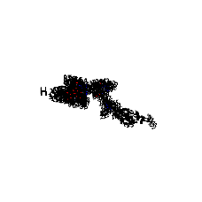 CC1(C)c2ccccc2-c2ccc(-c3cccc(N(c4ccccc4)c4ccc(-c5ccc6c(c5)-n5c7ccccc7c7cccc(c75)C65c6ccccc6-c6c(-c7ccc8c(c7)c7cccc9c7n8-c7ccccc7C97c8ccccc8-c8ccc(-c9ccccc9N(c9ccccc9)c9ccccc9-c9ccc%10c(c9)C(C)(C)c9ccccc9-%10)cc87)cccc65)cc4)c3)cc21